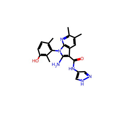 Cc1cc2c(C(=O)Nc3cn[nH]c3)c(N)n(-c3c(C)ccc(O)c3C)c2nc1C